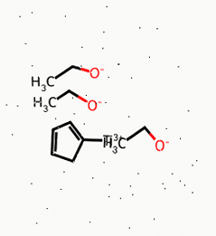 CC[O-].CC[O-].CC[O-].[Ti+3][C]1=CC=CC1